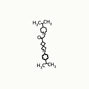 CC(C)c1ccc(N2CC3(CC(C(=O)CN4CCC(C(C)C)CC4)C3)C2)cc1